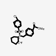 COC(=O)c1ccc(CN([C@@H]2CCCC[C@H]2F)S(=O)(=O)c2ccc(Cl)cc2)cc1